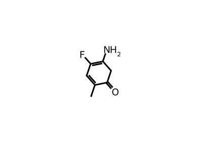 CC1=CC(F)=C(N)CC1=O